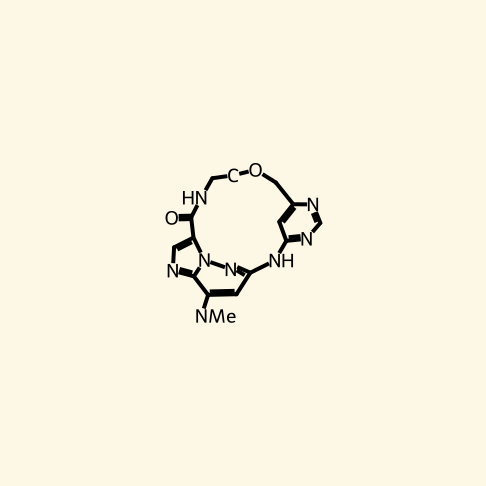 CNc1cc2nn3c(cnc13)C(=O)NCCOCc1cc(ncn1)N2